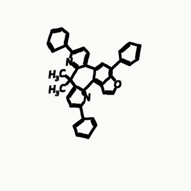 CC1(C)c2ccc(-c3ccccc3)nc2-c2c(cc(-c3ccccc3)c3occc23)-c2ccc(-c3ccccc3)nc21